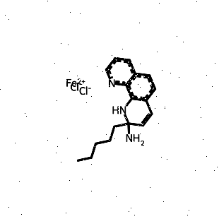 CCCCCC1(N)C=Cc2ccc3cccnc3c2N1.[Cl-].[Cl-].[Fe+2]